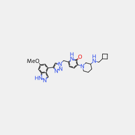 COc1cc(-c2cn(Cc3ccc(N4CCCC(NCC5CCC5)C4)c(=O)[nH]3)nn2)c2cn[nH]c2c1